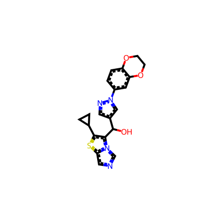 OC(c1cnn(-c2ccc3c(c2)OCCO3)c1)c1c(C2CC2)sc2cncn12